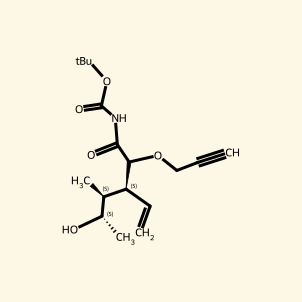 C#CCOC(C(=O)NC(=O)OC(C)(C)C)[C@@H](C=C)[C@H](C)[C@H](C)O